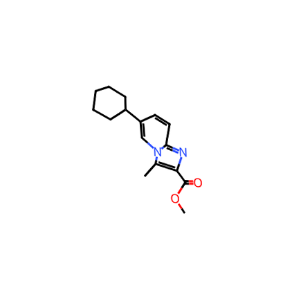 COC(=O)c1nc2ccc(C3CCCCC3)cn2c1C